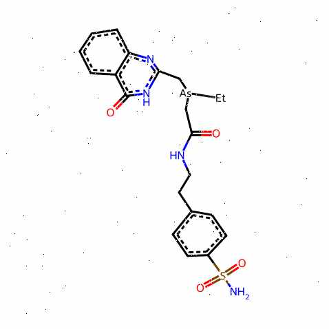 CC[As](CC(=O)NCCc1ccc(S(N)(=O)=O)cc1)Cc1nc2ccccc2c(=O)[nH]1